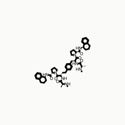 CN[C@@H](C)C(=O)N[C@@H](CCc1ccc(C[C@H](NC(=O)[C@H](C)NC)C(=O)N2CCC[C@H]2C(=O)N[C@@H]2CCCc3ccccc32)cc1)C(=O)N1CCC[C@H]1C(=O)N[C@@H]1CCCc2ccccc21